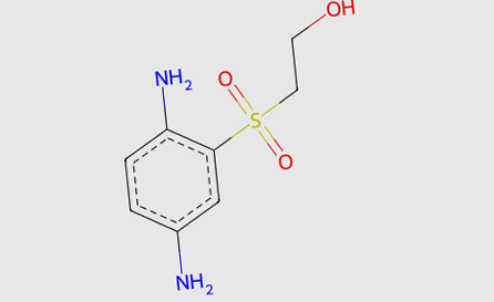 Nc1ccc(N)c(S(=O)(=O)CCO)c1